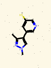 Cc1nn(C)cc1-c1cncc(S)c1